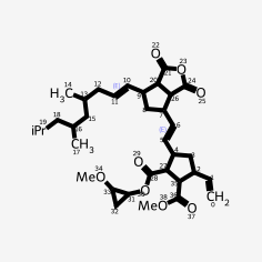 C=CC1CC(/C=C/C2CC(/C=C/CC(C)CC(C)CC(C)C)C3C(=O)OC(=O)C23)C(C(=O)OC2CC2OC)C1C(=O)OC